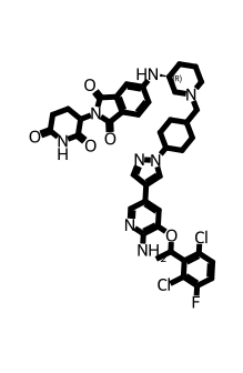 CC(Oc1cc(-c2cnn(C3CCC(CN4CCC[C@@H](Nc5ccc6c(c5)C(=O)N(C5CCC(=O)NC5=O)C6=O)C4)CC3)c2)cnc1N)c1c(Cl)ccc(F)c1Cl